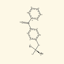 CCCC[C@@](C)(CC)Cc1ccc(C(=O)c2ccccc2)cc1